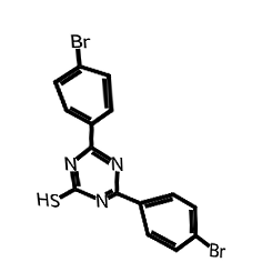 Sc1nc(-c2ccc(Br)cc2)nc(-c2ccc(Br)cc2)n1